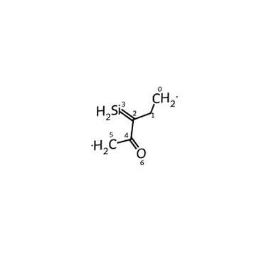 [CH2]CC(=[SiH2])C([CH2])=O